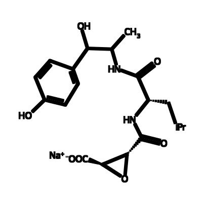 CC(C)C[C@H](NC(=O)[C@@H]1O[C@H]1C(=O)[O-])C(=O)NC(C)C(O)c1ccc(O)cc1.[Na+]